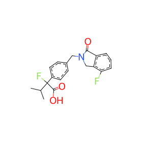 CC(C)C(F)(C(=O)O)c1ccc(CN2Cc3c(F)cccc3C2=O)cc1